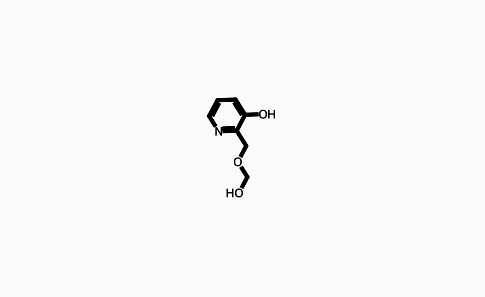 OCOCc1ncccc1O